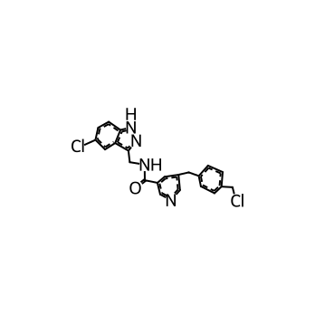 O=C(NCc1n[nH]c2ccc(Cl)cc12)c1cncc(Cc2ccc(CCl)cc2)c1